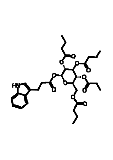 CCCC(=O)OC[C@H]1O[C@@H](OC(=O)CCc2c[nH]c3ccccc23)[C@H](OC(=O)CCC)[C@@H](OC(=O)CCC)[C@@H]1OC(=O)CC